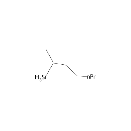 CCCCCC(C)[SiH3]